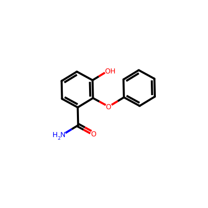 NC(=O)c1cccc(O)c1Oc1ccccc1